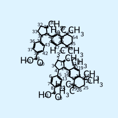 C=C1CCC(c2ccc(C(=O)O)cc2)C1c1cc2c(cc1C)C(C)(C)CCC2(C)C.C=C1CCC(c2ccc(C(=O)O)cc2)C1c1ccc2c(c1)C(C)(C)CCC2(C)C